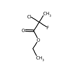 CCOC(=O)C(C)(F)Cl